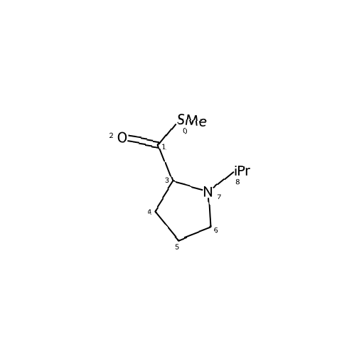 CSC(=O)C1CCCN1C(C)C